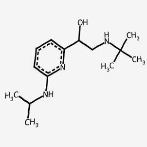 CC(C)Nc1cccc(C(O)CNC(C)(C)C)n1